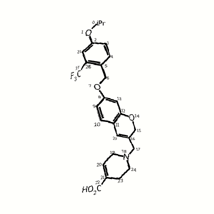 CC(C)Oc1ccc(COc2ccc3c(c2)OCC(CN2CC=C(C(=O)O)CC2)=C3)c(C(F)(F)F)c1